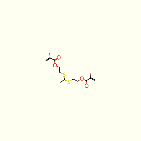 C=C(C)C(=O)OCCSC(C)SCCOC(=O)C(=C)C